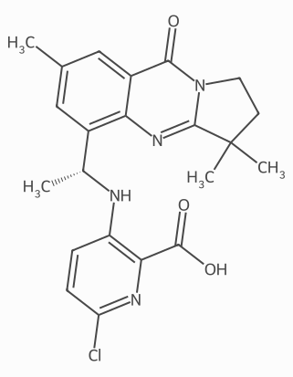 Cc1cc([C@@H](C)Nc2ccc(Cl)nc2C(=O)O)c2nc3n(c(=O)c2c1)CCC3(C)C